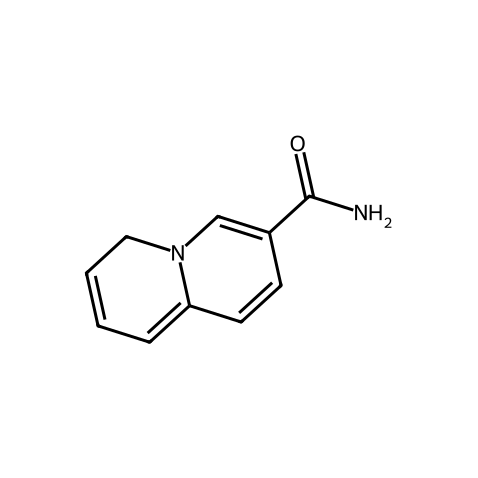 NC(=O)C1=CN2CC=CC=C2C=C1